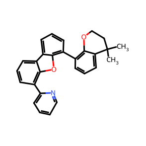 CC1(C)CCOc2c(-c3cccc4c3oc3c(-c5ccccn5)cccc34)cccc21